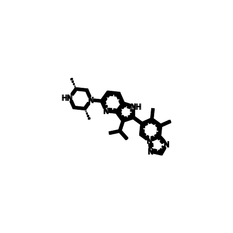 Cc1c(-c2[nH]c3ccc(N4C[C@@H](C)NC[C@H]4C)nc3c2C(C)C)cn2ncnc2c1C